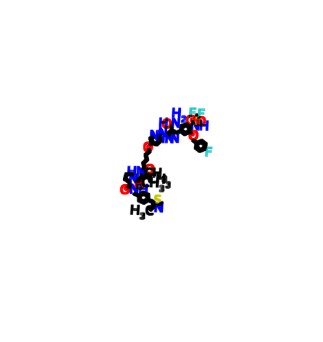 Cc1ncsc1-c1ccc(CNC(=O)C2CCCN2C(=O)C(NC(=O)CCCCOc2ccc(Nc3[nH]nc(-c4ccc(NS(=O)(=O)C(F)F)c(OCc5ccc(F)cc5)c4)c3C(N)=O)nc2)C(C)(C)C)cc1